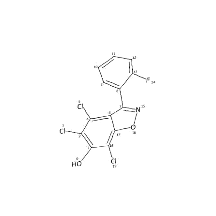 Oc1c(Cl)c(Cl)c2c(-c3ccccc3F)noc2c1Cl